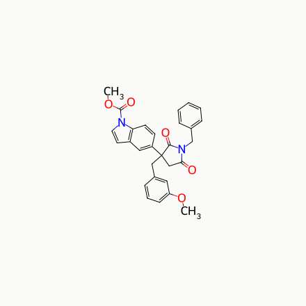 COC(=O)n1ccc2cc(C3(Cc4cccc(OC)c4)CC(=O)N(Cc4ccccc4)C3=O)ccc21